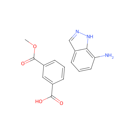 COC(=O)c1cccc(C(=O)O)c1.Nc1cccc2cn[nH]c12